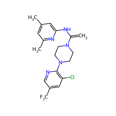 C=C(Nc1cc(C)cc(C)n1)N1CCN(c2ncc(C(F)(F)F)cc2Cl)CC1